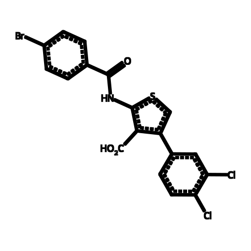 O=C(Nc1scc(-c2ccc(Cl)c(Cl)c2)c1C(=O)O)c1ccc(Br)cc1